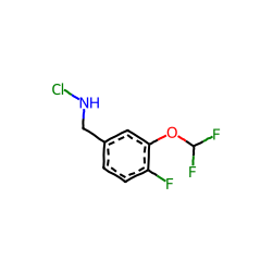 Fc1ccc(CNCl)cc1OC(F)F